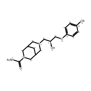 CC(=O)NC(=O)N1CC2CC(CN(C[C@H](O)COc3ccc(C#N)cc3)C2)C1